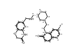 O=C1COc2ccc(CNC[C@H]3CN(CCn4c(=O)ccc5ncc(F)cc54)CCO3)nc2N1